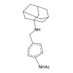 CC(=O)Nc1ccc(CNC23CC4CC(CC(C4)C2)C3)cc1